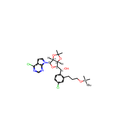 CC1(C)O[C@H]2[C@@H](O1)[C@H](n1ccc3c(Cl)ncnc31)O[C@@H]2[C@H](O)c1ccc(Cl)cc1CCCO[Si](C)(C)C(C)(C)C